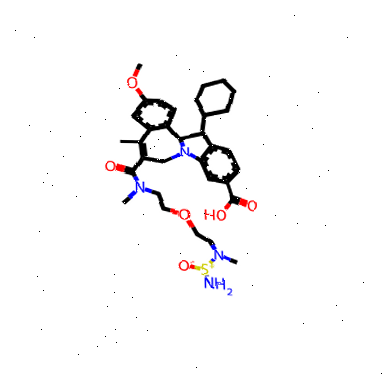 COc1ccc2c(c1)C(C)=C(C(=O)N(C)CCOCCN(C)[S+](N)[O-])CN1c3cc(C(=O)O)ccc3C(C3CCCCC3)C21